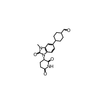 Cn1c(=O)n(C2CCC(=O)NC2=O)c2ccc(C3CCC(C=O)CC3)cc21